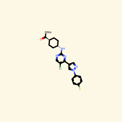 CNC(=O)[C@H]1CC[C@H](Nc2ncc(Cl)c(-c3cnn(-c4ccc(F)cc4)c3)n2)CC1